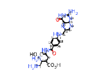 NCC(N)C(CC(NC(=O)c1ccc(NCc2cnc3nc(N)[nH]c(=O)c3n2)cc1)C(=O)O)C(=O)O